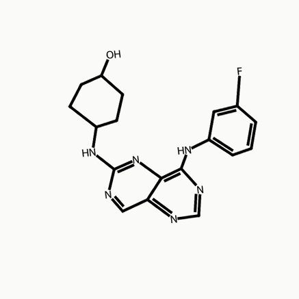 OC1CCC(Nc2ncc3ncnc(Nc4cccc(F)c4)c3n2)CC1